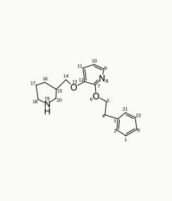 c1ccc(CCOc2ncccc2OCC2CCCNC2)cc1